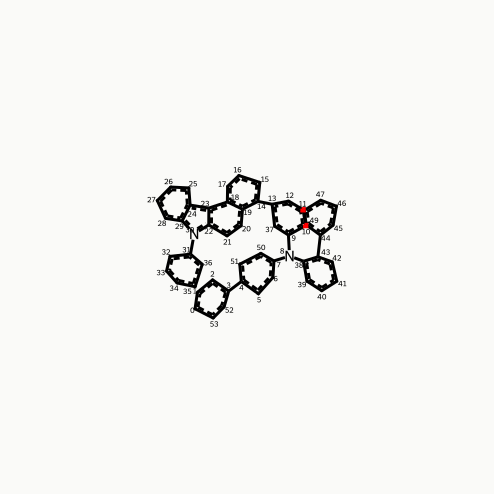 c1ccc(-c2ccc(N(c3cccc(-c4cccc5c4ccc4c5c5ccccc5n4-c4ccccc4)c3)c3ccccc3-c3ccccc3)cc2)cc1